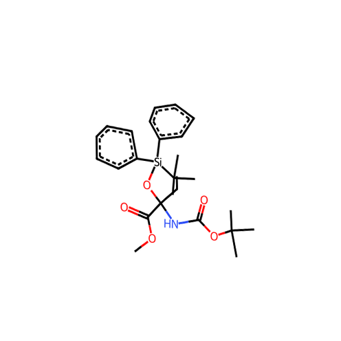 CCC(NC(=O)OC(C)(C)C)(O[Si](c1ccccc1)(c1ccccc1)C(C)(C)C)C(=O)OC